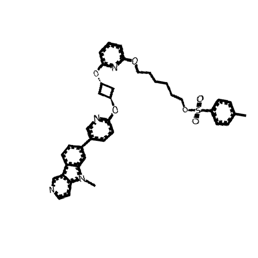 Cc1ccc(S(=O)(=O)OCCCCCCOc2cccc(O[C@H]3C[C@H](Oc4ccc(-c5ccc6c7cnccc7n(C)c6c5)cn4)C3)n2)cc1